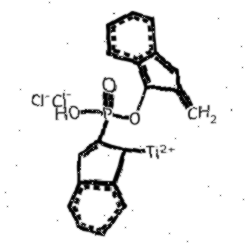 C=C1C=c2ccccc2=C1OP(=O)(O)C1=Cc2ccccc2[CH]1[Ti+2].[Cl-].[Cl-]